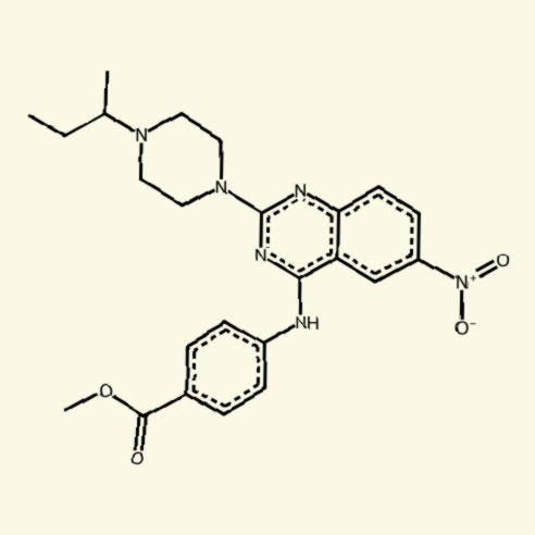 CCC(C)N1CCN(c2nc(Nc3ccc(C(=O)OC)cc3)c3cc([N+](=O)[O-])ccc3n2)CC1